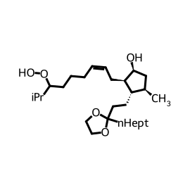 CCCCCCCC1(CC[C@@H]2[C@@H](C/C=C\CCCC(OO)C(C)C)[C@@H](O)C[C@H]2C)OCCO1